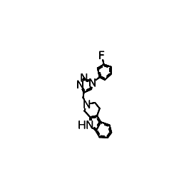 Fc1cccc(-n2cc(CN3CCc4c([nH]c5ccccc45)C3)nn2)c1